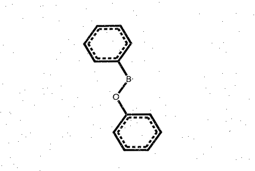 [B](Oc1ccccc1)c1ccccc1